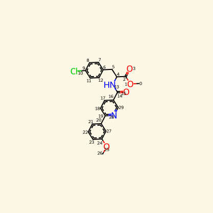 COC(=O)C(Cc1ccc(Cl)cc1)NC(=O)c1ccc(-c2cccc(OC)c2)nc1